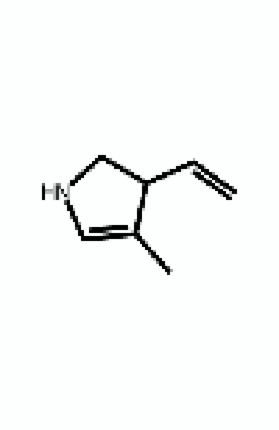 C=CC1CNC=C1C